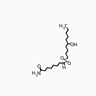 CCCCCC(O)CCCCS(=O)(=O)NCCCCCCC(N)=O